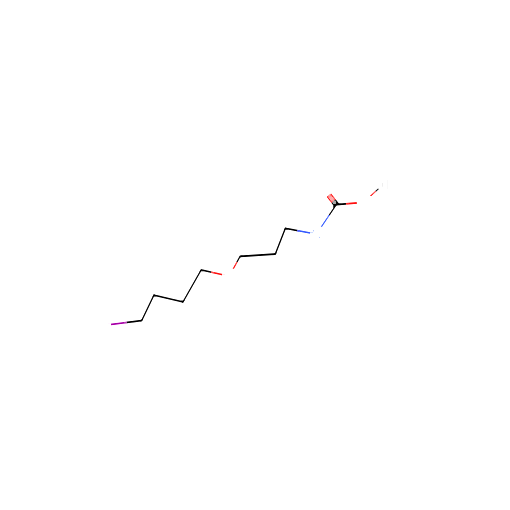 CC(C)(C)OC(=O)NCCCOCCCCI